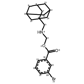 O=C(OCNCC12CC3CC(CC(C3)C1)C2)c1cccc(Br)c1